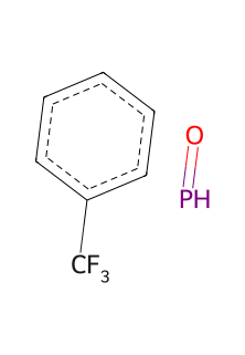 FC(F)(F)c1ccccc1.O=P